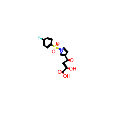 O=C(O)C(O)=CC(=O)c1ccn(S(=O)(=O)c2ccc(F)cc2)c1